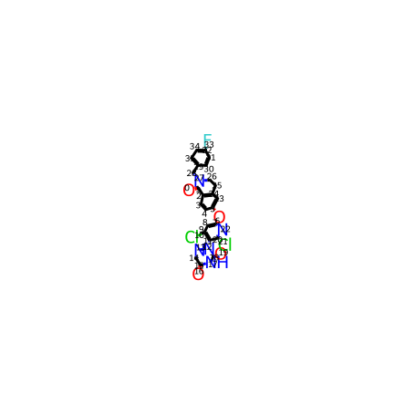 O=C1c2ccc(Oc3cc(Cl)c(-n4ncc(=O)[nH]c4=O)c(Cl)n3)cc2CCN1Cc1ccc(F)cc1